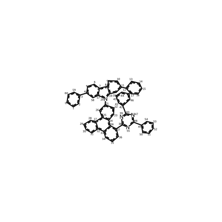 c1ccc(-c2ccc3c4ccc(-c5ccccc5)cc4n(-c4ccc5c(c4)c4ccccc4c4cccc(-c6nc(-c7ccccc7)nc(-c7ccccc7)n6)c45)c3c2)cc1